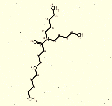 CCCCCOCCCC(=O)N(CCCCC)CCCCC